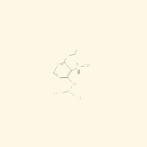 CN(C)Nc1ncnc(OCC(F)(F)F)c1S(N)(=O)=O